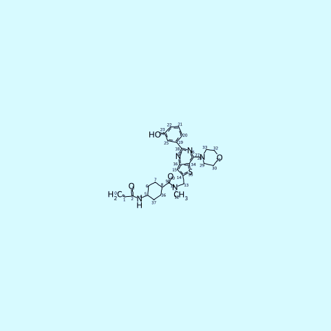 C=CC(=O)NC1CCC(C(=O)N(C)Cc2cc3nc(-c4cccc(O)c4)nc(N4CCOCC4)c3s2)CC1